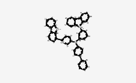 c1ccc(-c2ccc(N(c3ccc(-c4cccc5c4oc4ccccc45)cc3)c3cccc(-n4c5ccccc5c5ccccc54)c3)cc2)cc1